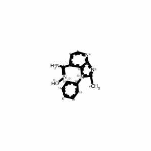 Cc1nc2nccc(C(N)=NO)c2n1-c1ccccc1